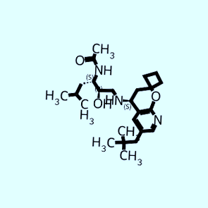 CC(=O)N[C@@H](CC(C)C)[C@H](O)CN[C@H]1CC2(CCC2)Oc2ncc(CC(C)(C)C)cc21